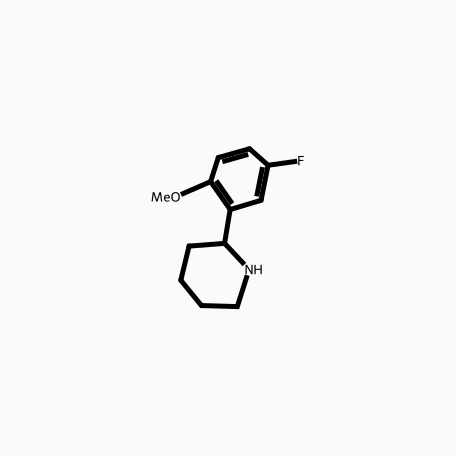 COc1ccc(F)cc1C1CCCCN1